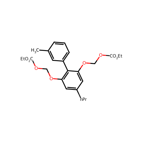 CCCc1cc(OCOC(=O)OCC)c(-c2cccc(C)c2)c(OCOC(=O)OCC)c1